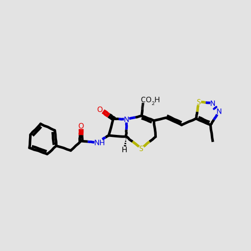 Cc1nnsc1C=CC1=C(C(=O)O)N2C(=O)C(NC(=O)Cc3ccccc3)[C@@H]2SC1